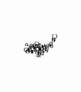 CC[C@@H](C)[C@H](NC(=O)[C@H]1CCCCN1CCOCCOCCOCCNC(=O)OCC1CCN(c2ccccccccc2)CC1)C(=O)N(C)[C@H](CC(OC(C)=O)c1nc(C(=O)N[C@@H](Cc2ccccc2)C[C@H](C)C(=O)O)cs1)C(C)C